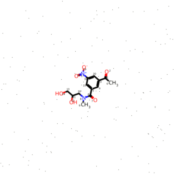 CC(=O)c1cc(C(=O)N(C)CC(O)CO)cc([N+](=O)[O-])c1